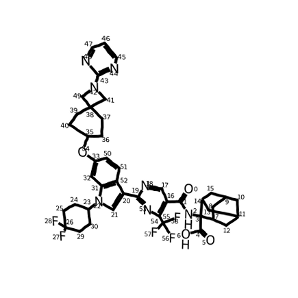 O=C(NC1(C(=O)O)C2CC3CC(C2)CC1C3)c1cnc(-c2cn(C3CCC(F)(F)CC3)c3cc(OC4CCC5(CC4)CN(c4ncccn4)C5)ccc23)nc1C(F)(F)F